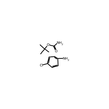 CC(C)(C)OC(N)=O.Nc1ccc(Cl)cc1